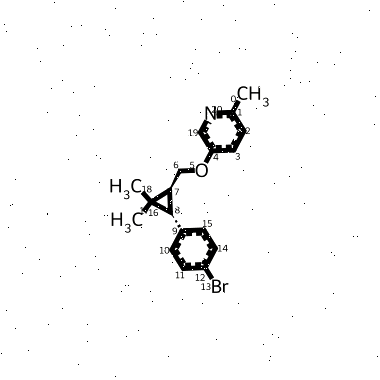 Cc1ccc(OC[C@H]2[C@H](c3ccc(Br)cc3)C2(C)C)cn1